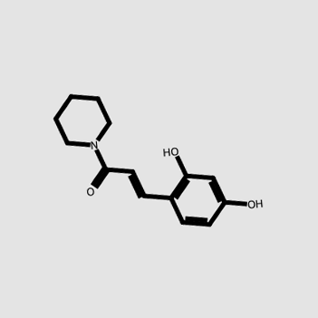 O=C(C=Cc1ccc(O)cc1O)N1CCCCC1